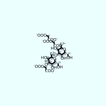 O=C([O-])CC(=O)[O-].O=C([O-])CC(=O)[O-].O=C([O-])CC(=O)[O-].[C+3]C1O[C@H](CO)[C@H](O)[C@H](O)[C@H]1O.[C+3]C1O[C@H](CO)[C@H](O)[C@H](O)[C@H]1O